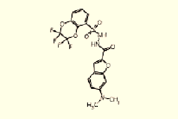 CN(C)c1ccc2cc(C(=O)NNS(=O)(=O)c3cccc4c3OC(F)(F)C(F)(F)O4)oc2c1